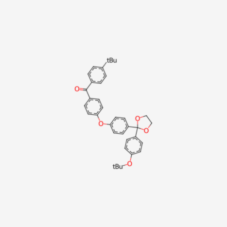 CC(C)(C)Oc1ccc(C2(c3ccc(Oc4ccc(C(=O)c5ccc(C(C)(C)C)cc5)cc4)cc3)OCCO2)cc1